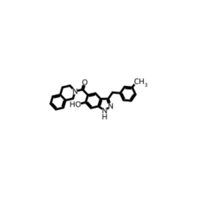 Cc1cccc(Cc2n[nH]c3cc(O)c(C(=O)N4CCc5ccccc5C4)cc23)c1